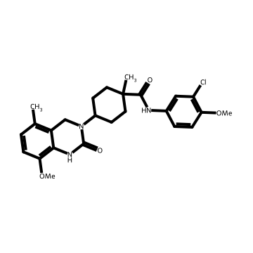 COc1ccc(NC(=O)C2(C)CCC(N3Cc4c(C)ccc(OC)c4NC3=O)CC2)cc1Cl